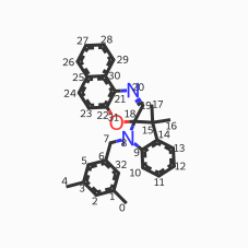 Cc1cc(C)cc(CN2c3ccccc3C(C)(C)C23C=Nc2c(ccc4ccccc24)O3)c1